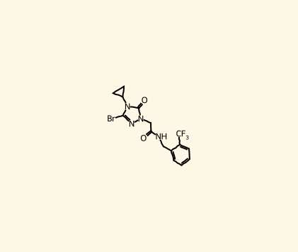 O=C(Cn1nc(Br)n(C2CC2)c1=O)NCc1ccccc1C(F)(F)F